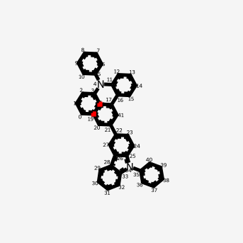 c1ccc(N(c2ccccc2)c2ccccc2-c2cccc(-c3ccc4c(c3)c3ccccc3n4-c3ccccc3)c2)cc1